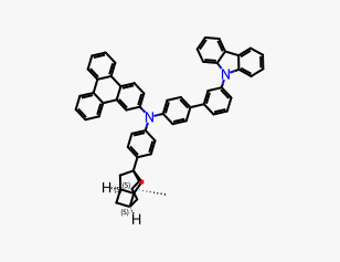 C[C@H]1C[C@H]2C[C@H]3CC(c4ccc(N(c5ccc(-c6cccc(-n7c8ccccc8c8ccccc87)c6)cc5)c5ccc6c7ccccc7c7ccccc7c6c5)cc4)(CC23)C1